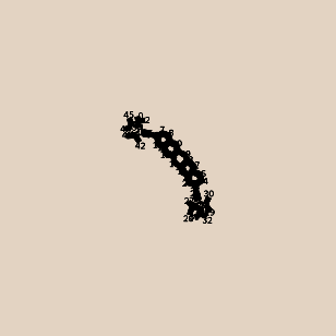 CC(C)[Si](C#Cc1ccc2cc3c(cc2c1)Cc1cc2cc(C#C[Si](C(C)C)(C(C)C)C(C)C)ccc2cc1C3)(C(C)C)C(C)C